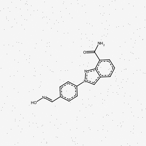 NC(=O)c1cccc2cn(-c3ccc(C=NO)cc3)nc12